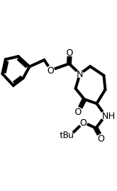 CC(C)(C)OC(=O)NC1CCCN(C(=O)OCc2ccccc2)CC1=O